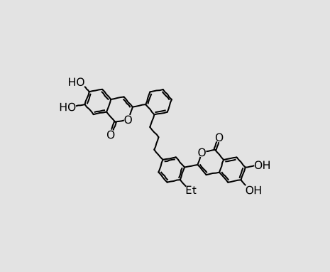 CCc1ccc(CCCc2ccccc2-c2cc3cc(O)c(O)cc3c(=O)o2)cc1-c1cc2cc(O)c(O)cc2c(=O)o1